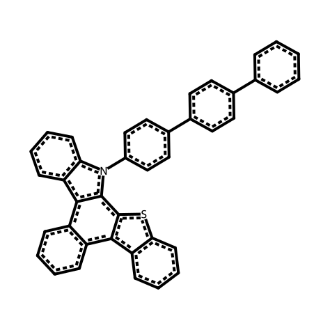 c1ccc(-c2ccc(-c3ccc(-n4c5ccccc5c5c6ccccc6c6c7ccccc7sc6c54)cc3)cc2)cc1